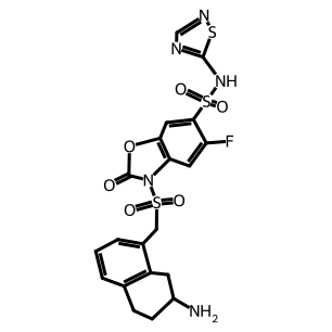 NC1CCc2cccc(CS(=O)(=O)n3c(=O)oc4cc(S(=O)(=O)Nc5ncns5)c(F)cc43)c2C1